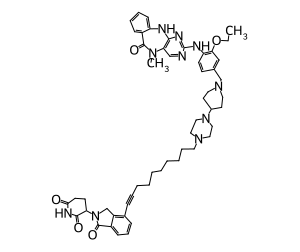 CCOc1cc(CN2CCC(N3CCN(CCCCCCCCC#Cc4cccc5c4CN(C4CCC(=O)NC4=O)C5=O)CC3)CC2)ccc1Nc1ncc2c(n1)Nc1ccccc1C(=O)N2C